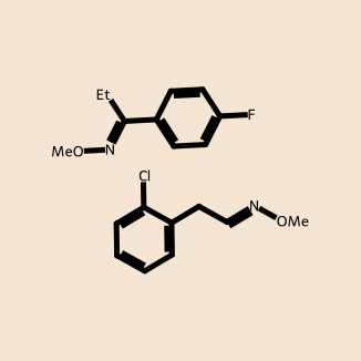 CCC(=NOC)c1ccc(F)cc1.CON=CCc1ccccc1Cl